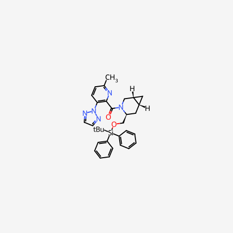 Cc1ccc(-n2nccn2)c(C(=O)N2C[C@@H]3C[C@@H]3C[C@H]2CO[Si](c2ccccc2)(c2ccccc2)C(C)(C)C)n1